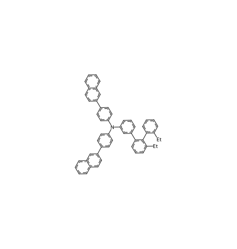 CCc1ccccc1-c1c(CC)cccc1-c1cccc(N(c2ccc(-c3ccc4ccccc4c3)cc2)c2ccc(-c3ccc4ccccc4c3)cc2)c1